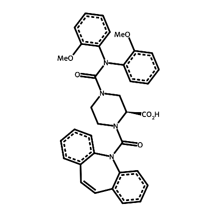 COc1ccccc1N(C(=O)N1CCN(C(=O)N2c3ccccc3C=Cc3ccccc32)[C@H](C(=O)O)C1)c1ccccc1OC